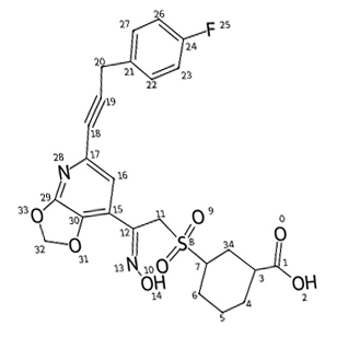 O=C(O)C1CCCC(S(=O)(=O)CC(=NO)c2cc(C#CCc3ccc(F)cc3)nc3c2OCO3)C1